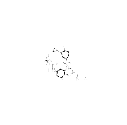 CC(=O)NC[C@H]1CN(S(=O)(=O)c2ccc(F)c(C3CC3)c2)c2cc(NC(=O)OC(C)(C)C(F)(F)F)ccc2O1